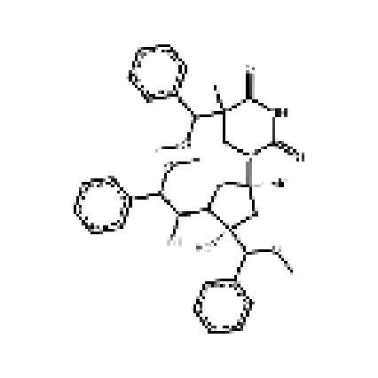 COC(c1ccccc1)C(O)[C@H]1O[C@@](Br)(N2CC(C)(C(OC)c3ccccc3)C(=O)NC2=O)C[C@@]1(O)C(OC)c1ccccc1